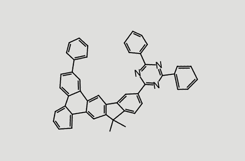 CC1(C)c2ccc(-c3nc(-c4ccccc4)nc(-c4ccccc4)n3)cc2-c2cc3c4cc(-c5ccccc5)ccc4c4ccccc4c3cc21